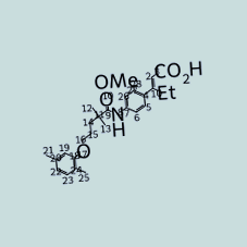 CCC(=CC(=O)O)c1ccc(NC(=O)C(C)(C)CCCOc2cc(C)ccc2C)cc1OC